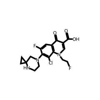 O=C(O)c1cn(CCF)c2c(Cl)c(N3CCNC4(CC4)C3)c(F)cc2c1=O